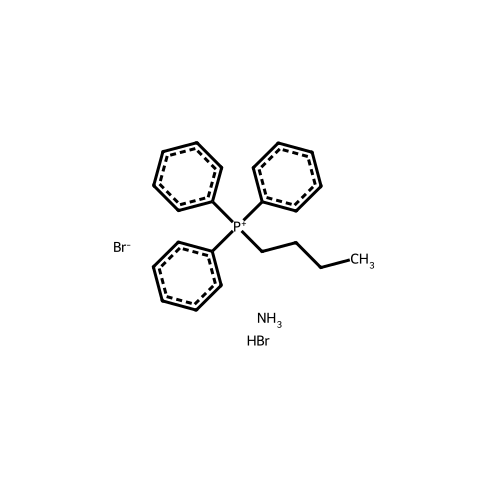 Br.CCCC[P+](c1ccccc1)(c1ccccc1)c1ccccc1.N.[Br-]